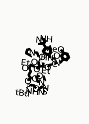 CCC(C)(O[C@@H](C)C(=O)C(C)(CC)OCCN(Cc1cccc(OC)c1)C(=O)Nc1ccc(-c2cn[nH]c2)cc1OCCN1CCCC1)C(=O)CCC(=O)O[C@@H](CNC(C)(C)C)COc1nsnc1N1CCOCC1